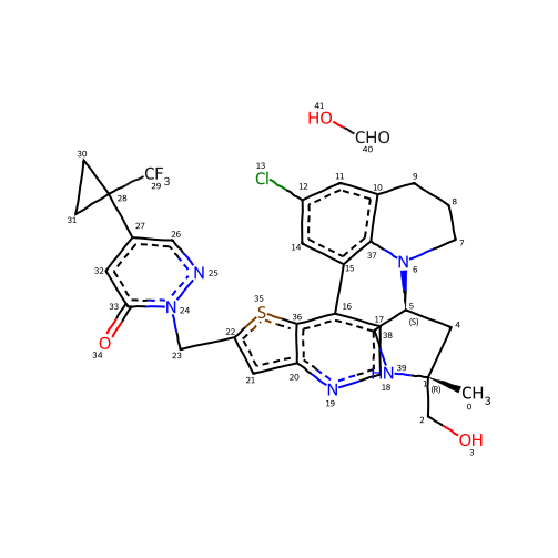 C[C@]1(CO)C[C@H](N2CCCc3cc(Cl)cc(-c4ccnc5cc(Cn6ncc(C7(C(F)(F)F)CC7)cc6=O)sc45)c32)CN1.O=CO